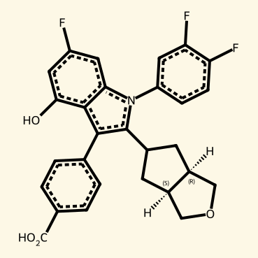 O=C(O)c1ccc(-c2c(C3C[C@H]4COC[C@H]4C3)n(-c3ccc(F)c(F)c3)c3cc(F)cc(O)c23)cc1